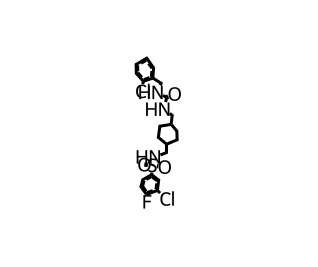 O=C(NCc1ccccc1Cl)NCC1CCC(CNS(=O)(=O)c2ccc(F)c(Cl)c2)CC1